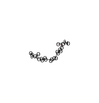 CCC(CC)(COC(=O)CCCCCOC(=O)CCC(=O)OCCOc1ccc(C2(c3ccc(OC)cc3)C=Cc3c(cc(N4CCOCC4)c4ccccc34)O2)cc1)COC(=O)CCCCCOC(=O)CCC(=O)OCCOc1ccc(C2(c3ccc(OC)cc3)C=Cc3c(cc(N4CCOCC4)c4ccccc34)O2)cc1